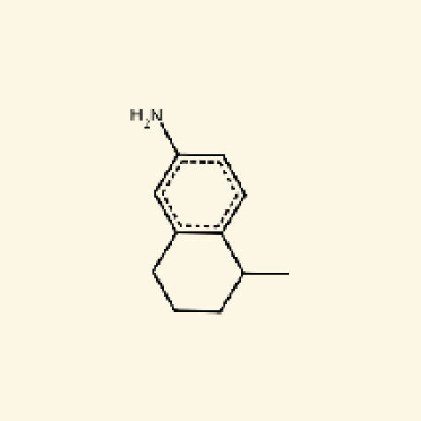 CC1CCCc2cc(N)ccc21